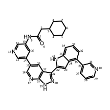 O=C(CC1CCCCC1)Nc1cncc(-c2cnc3[nH]nc(-c4cc5c(-c6cccnc6)cccc5[nH]4)c3c2)c1